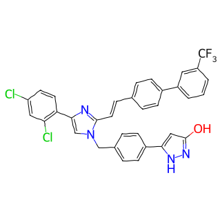 Oc1cc(-c2ccc(Cn3cc(-c4ccc(Cl)cc4Cl)nc3/C=C/c3ccc(-c4cccc(C(F)(F)F)c4)cc3)cc2)[nH]n1